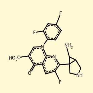 NC1C2CNCC12c1nc2c(cc1F)c(=O)c(C(=O)O)cn2-c1ccc(F)cc1F